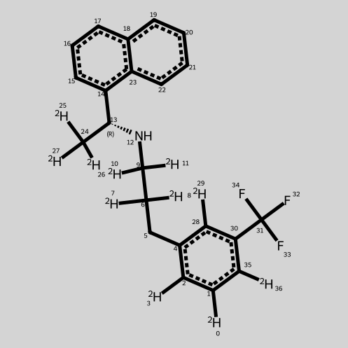 [2H]c1c([2H])c(CC([2H])([2H])C([2H])([2H])N[C@@H](c2cccc3ccccc23)C([2H])([2H])[2H])c([2H])c(C(F)(F)F)c1[2H]